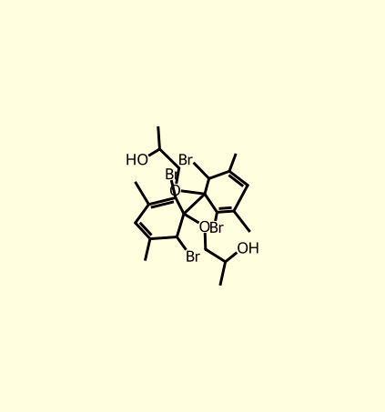 CC1=CC(C)=C(Br)C(OCC(C)O)(C2(OCC(C)O)C(Br)=C(C)C=C(C)C2Br)C1Br